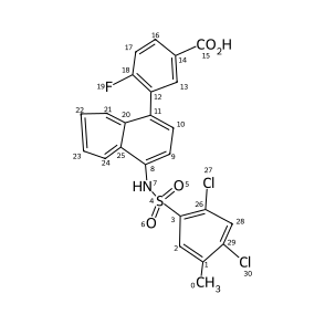 Cc1cc(S(=O)(=O)Nc2ccc(-c3cc(C(=O)O)ccc3F)c3ccccc23)c(Cl)cc1Cl